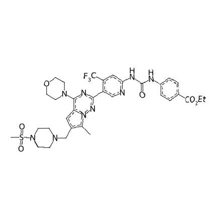 CCOC(=O)c1ccc(NC(=O)Nc2cc(C(F)(F)F)c(-c3nc(N4CCOCC4)c4cc(CN5CCN(S(C)(=O)=O)CC5)c(C)n4n3)cn2)cc1